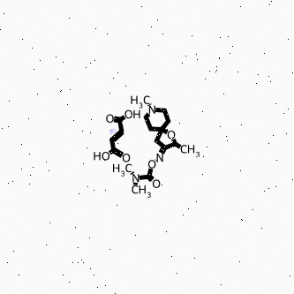 CC1OC2(CCN(C)CC2)CC1=NOC(=O)N(C)C.O=C(O)/C=C/C(=O)O